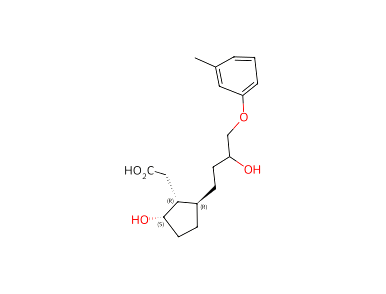 Cc1cccc(OCC(O)CC[C@H]2CC[C@H](O)[C@@H]2CC(=O)O)c1